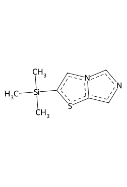 C[Si](C)(C)c1cn2cncc2s1